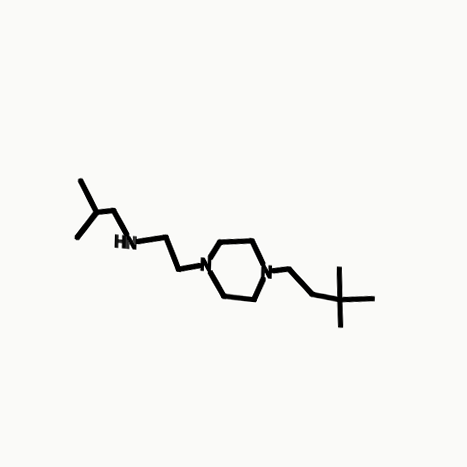 CC(C)CNCCN1CCN(CCC(C)(C)C)CC1